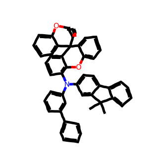 CC1(C)c2ccccc2-c2ccc(N(c3cccc(-c4ccccc4)c3)c3cccc4c3Oc3ccccc3C43c4ccccc4Oc4ccccc43)cc21